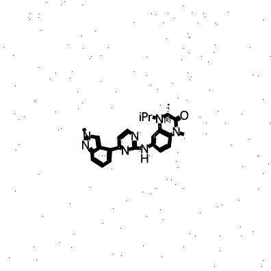 CC(C)N1c2cc(Nc3nccc(-c4cccc5nn(C)cc45)n3)ccc2N(C)C(=O)[C@H]1C